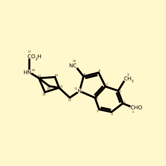 Cc1c(C=O)ccc2c1cc(C#N)n2CC12CC(NC(=O)O)(C1)C2